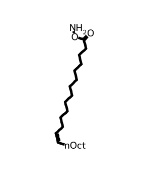 CCCCCCCC/C=C\CCCCCCCCCCCC(=O)ON